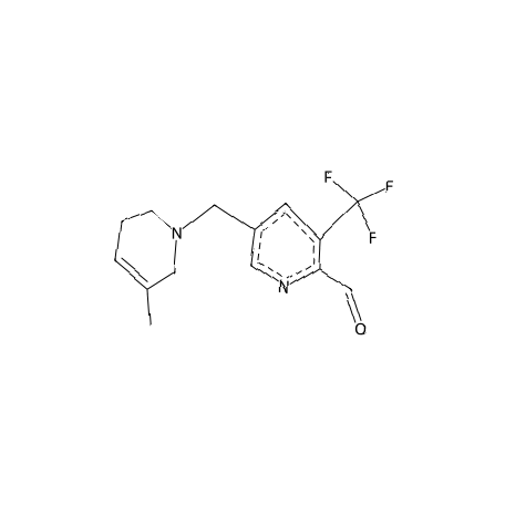 CC1=CCCN(Cc2cnc(C=O)c(C(F)(F)F)c2)C1